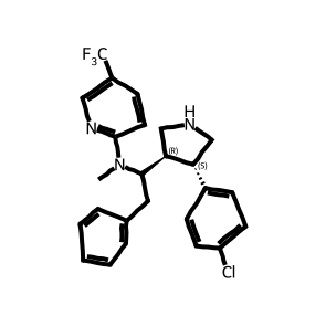 CN(c1ccc(C(F)(F)F)cn1)C(Cc1ccccc1)[C@H]1CNC[C@@H]1c1ccc(Cl)cc1